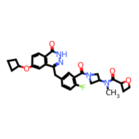 CN(C(=O)C1CCO1)C1CN(C(=O)c2cc(Cc3n[nH]c(=O)c4ccc(OC5CCC5)cc34)ccc2F)C1